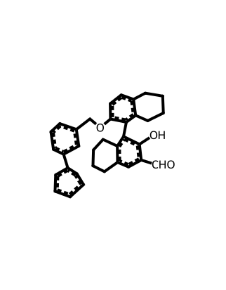 O=Cc1cc2c(c(-c3c(OCc4cccc(-c5ccccc5)c4)ccc4c3CCCC4)c1O)CCCC2